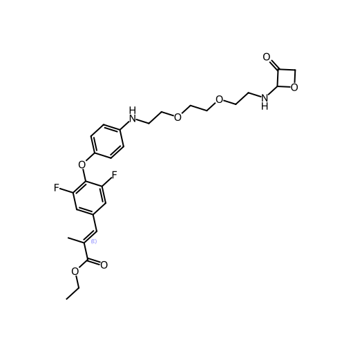 CCOC(=O)/C(C)=C/c1cc(F)c(Oc2ccc(NCCOCCOCCNC3OCC3=O)cc2)c(F)c1